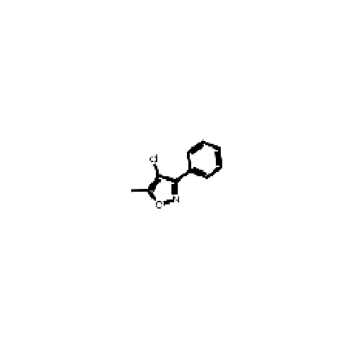 Cc1onc(-c2ccccc2)c1Cl